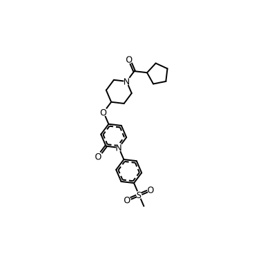 CS(=O)(=O)c1ccc(-n2ccc(OC3CCN(C(=O)C4CCCC4)CC3)cc2=O)cc1